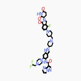 O=C1CCC(N2Cc3c(ccc(N4CCC(CN5CCC(n6cc7cc(NC(=O)c8cnn9cccnc89)c(N8CCN(CC(F)F)CC8)cc7n6)CC5)CC4)c3F)C2=O)C(=O)N1